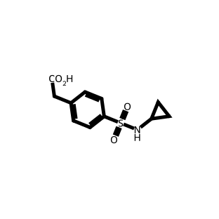 O=C(O)Cc1ccc(S(=O)(=O)NC2CC2)cc1